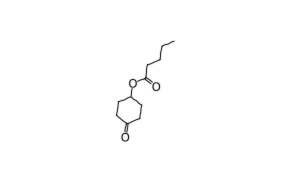 CCCCC(=O)OC1CCC(=O)CC1